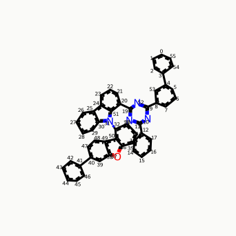 c1ccc(-c2cccc(-c3nc(-c4ccccc4)nc(-c4cccc5c6ccccc6n(-c6cccc7oc8cc(-c9ccccc9)ccc8c67)c45)n3)c2)cc1